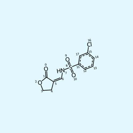 O=C1OCCC1=CNS(=O)(=O)c1cccc(Cl)c1